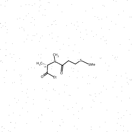 CCC(=O)[C@H](C)N(C)C(=O)CCSSC